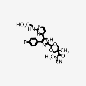 CN(C#N)C(=O)C1(C)COC(c2nc(-c3ccc(F)cc3)c(-c3ccnc(NCC(=O)O)n3)[nH]2)OC1